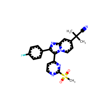 CC(C)(C#N)c1ccn2c(-c3ccnc(S(C)(=O)=O)n3)c(-c3ccc(F)cc3)nc2c1